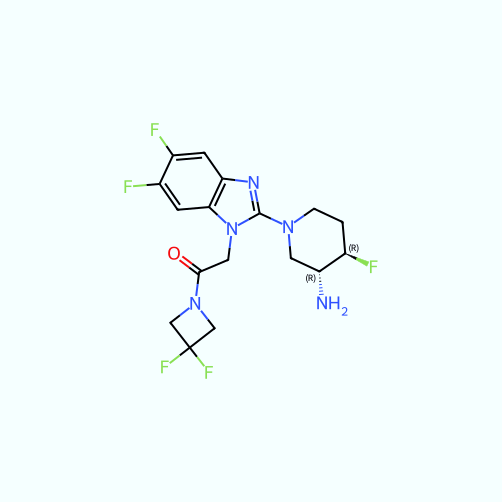 N[C@@H]1CN(c2nc3cc(F)c(F)cc3n2CC(=O)N2CC(F)(F)C2)CC[C@H]1F